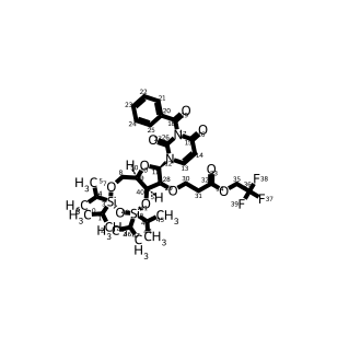 CC(C)[Si]1(C(C)C)OC[C@H]2O[C@@H](n3ccc(=O)n(C(=O)c4ccccc4)c3=O)C(OCCC(=O)OCC(F)(F)F)[C@H]2O[Si](C(C)C)(C(C)C)O1